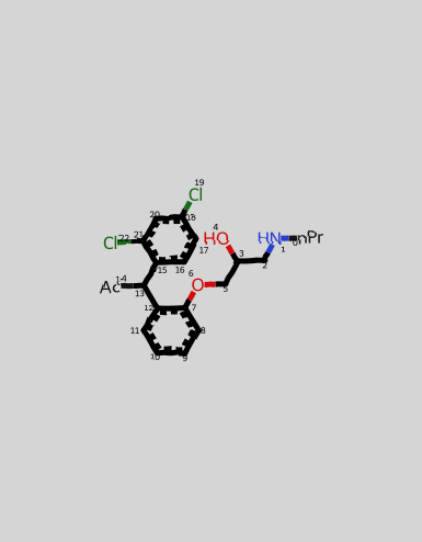 CCCNCC(O)COc1ccccc1C(C(C)=O)c1ccc(Cl)cc1Cl